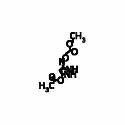 CCOC(=O)CO/N=c1/cc(OC(C)=O)[nH][nH]1